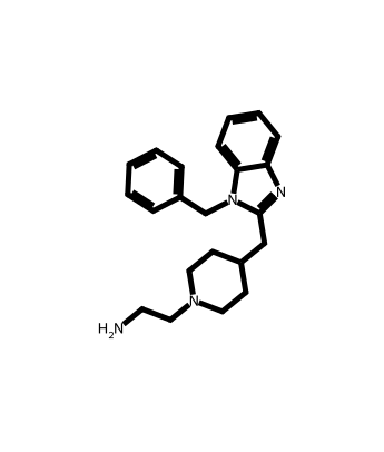 NCCN1CCC(Cc2nc3ccccc3n2Cc2ccccc2)CC1